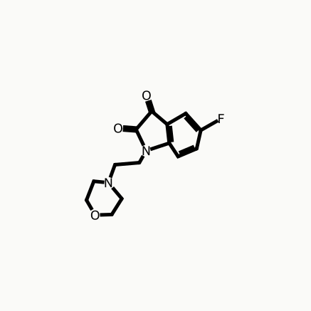 O=C1C(=O)N(CCN2CCOCC2)c2ccc(F)cc21